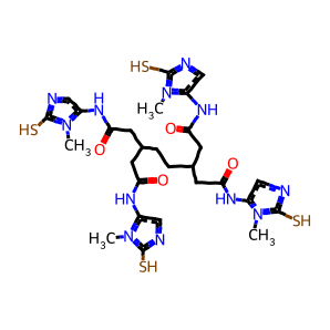 Cn1c(NC(=O)CC(CCC(CC(=O)Nc2cnc(S)n2C)CC(=O)Nc2cnc(S)n2C)CC(=O)Nc2cnc(S)n2C)cnc1S